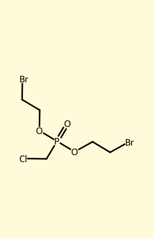 O=P(CCl)(OCCBr)OCCBr